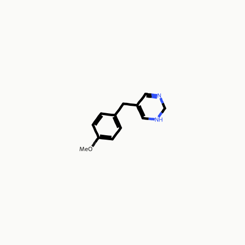 COc1ccc(CC2=CNCN=C2)cc1